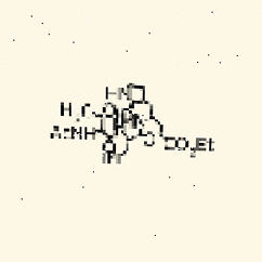 CCOC(=O)/C=C/[C@H](CC1CCNC1=O)NC(=O)[C@H](CC(C)C)NC(=O)[C@@H](NC(C)=O)C(C)O